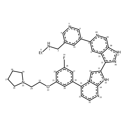 CCNCc1cncc(-c2cc3c(-c4cc5c(-c6cc(F)cc(OCCN7CCCC7)c6)ccnc5[nH]4)n[nH]c3cn2)c1